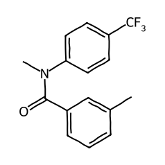 Cc1cccc(C(=O)N(C)c2ccc(C(F)(F)F)cc2)c1